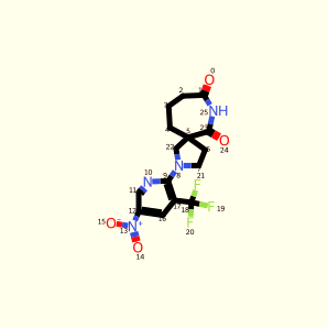 O=C1CCCC2(CCN(c3ncc([N+](=O)[O-])cc3C(F)(F)F)C2)C(=O)N1